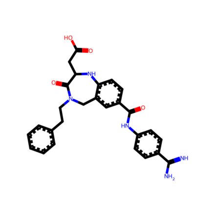 N=C(N)c1ccc(NC(=O)c2ccc3c(c2)CN(CCc2ccccc2)C(=O)C(CC(=O)O)N3)cc1